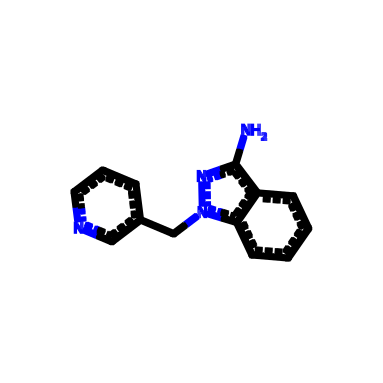 Nc1nn(Cc2cccnc2)c2ccccc12